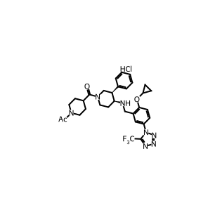 CC(=O)N1CCC(C(=O)N2CC[C@H](NCc3cc(-n4nnnc4C(F)(F)F)ccc3OC3CC3)[C@H](c3ccccc3)C2)CC1.Cl